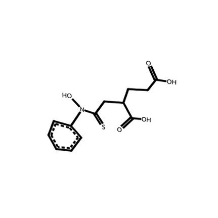 O=C(O)CCC(CC(=S)N(O)c1ccccc1)C(=O)O